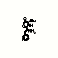 CC(C)(C)[C@H](NC(=O)[C@@H](N)Cc1cccnc1)C(=O)I